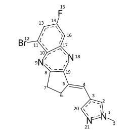 Cn1cc(C=C2CCc3nc4c(Br)cc(F)cc4nc32)cn1